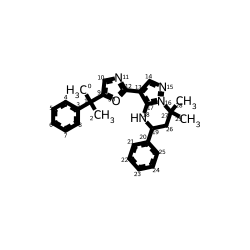 CC(C)(c1ccccc1)c1cnc(-c2cnn3c2NC(c2ccccc2)CC3(C)C)o1